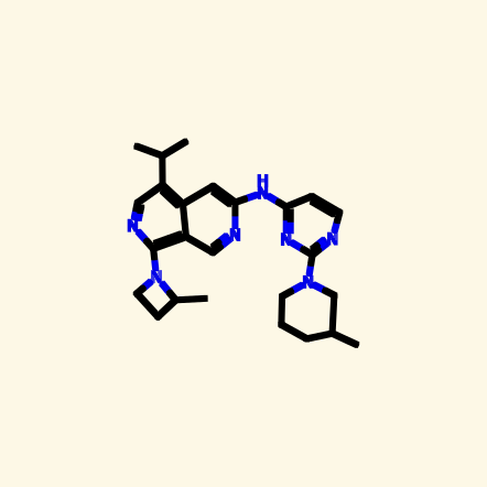 CC1CCCN(c2nccc(Nc3cc4c(C(C)C)cnc(N5CCC5C)c4cn3)n2)C1